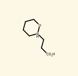 O=C(O)CC[SiH]1CCCCO1